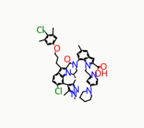 Cc1cc(N2C[C@@H](C)n3c(c(CCCOc4cc(C)c(Cl)c(C)c4)c4ccc(Cl)c(-c5c(C)nn(C)c5C)c43)C2=O)c2c(c1)cc(C(=O)O)n2Cc1cc(N2CCCCC2)ccn1